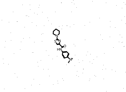 CN(C)c1ccc(NC(=O)c2csc(N3CCCCC3)n2)cc1